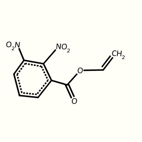 C=COC(=O)c1cccc([N+](=O)[O-])c1[N+](=O)[O-]